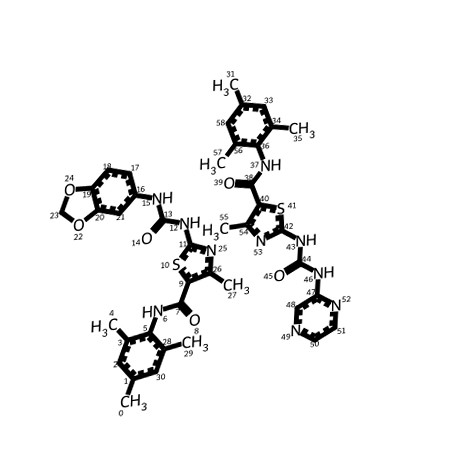 Cc1cc(C)c(NC(=O)c2sc(NC(=O)Nc3ccc4c(c3)OCO4)nc2C)c(C)c1.Cc1cc(C)c(NC(=O)c2sc(NC(=O)Nc3cnccn3)nc2C)c(C)c1